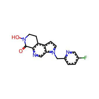 O=C1c2ncc3c(ccn3Cc3ccc(F)cn3)c2CCN1O